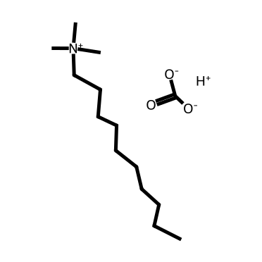 CCCCCCCCCC[N+](C)(C)C.O=C([O-])[O-].[H+]